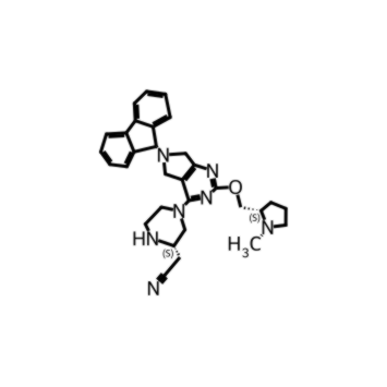 CN1CCC[C@H]1COc1nc2c(c(N3CCN[C@@H](CC#N)C3)n1)CN(C1c3ccccc3-c3ccccc31)C2